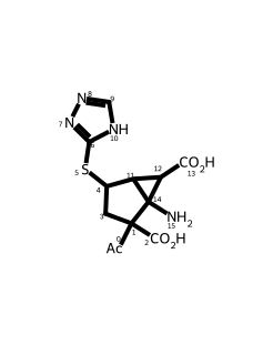 CC(=O)C1(C(=O)O)CC(Sc2nnc[nH]2)C2C(C(=O)O)C21N